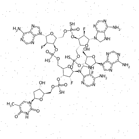 Cc1cn([C@H]2C[C@H](O)[C@@H](COP(=O)(S)O[C@@H]3C(COP(=O)(S)O[C@H]4[C@@H](F)[C@H](n5cnc6c(N)ncnc65)O[C@@H]4COP(=O)(S)O[C@H]4[C@@H](F)[C@H](N5CNc6c(N)ncnc65)O[C@@H]4COP(=O)(S)O[C@H]4[C@@H](F)[C@H](n5cnc6c(N)ncnc65)O[C@@H]4CO)O[C@@H](N4CNc5c(N)ncnc54)[C@@H]3F)O2)c(=O)[nH]c1=O